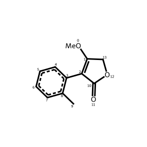 COC1=C(c2ccccc2C)C(=O)OC1